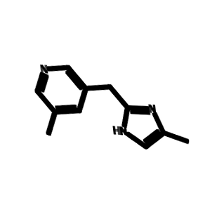 Cc1cncc(Cc2nc(C)c[nH]2)c1